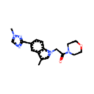 Cc1cn(CC(=O)N2CCOCC2)c2ccc(-c3ncn(C)n3)cc12